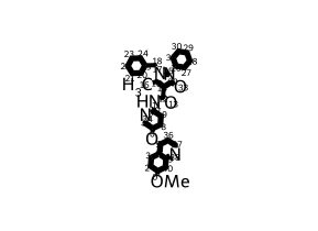 COc1ccc2c(Oc3ccc(NC(=O)c4c(C)n(Cc5ccccc5)n(-c5ccccc5)c4=O)nc3)ccnc2c1